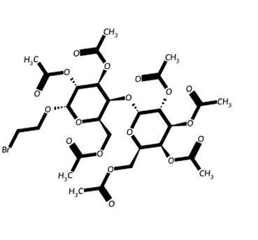 CC(=O)OC[C@H]1O[C@H](O[C@@H]2[C@H](OC(C)=O)[C@@H](OC(C)=O)[C@@H](OCCBr)O[C@@H]2COC(C)=O)[C@H](OC(C)=O)[C@@H](OC(C)=O)[C@H]1OC(C)=O